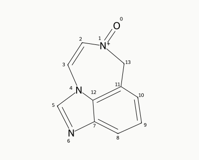 O=[N+]1C=Cn2cnc3cccc(c32)C1